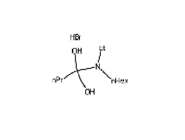 Br.CCCCCCN(CC)C(O)(O)CCC